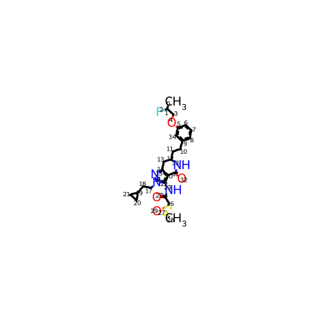 CC(F)COc1cccc(CCC2Cc3nn(CCC4CC4)c(NC(=O)C[S+](C)[O-])c3C(=O)N2)c1